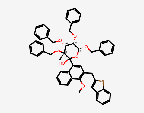 COc1c(Cc2cc3ccccc3s2)cc(C2(O)O[C@@H](OCc3ccccc3)[C@@H](OCc3ccccc3)[C@@H](OCc3ccccc3)[C@@]2(C)OCc2ccccc2)c2ccccc12